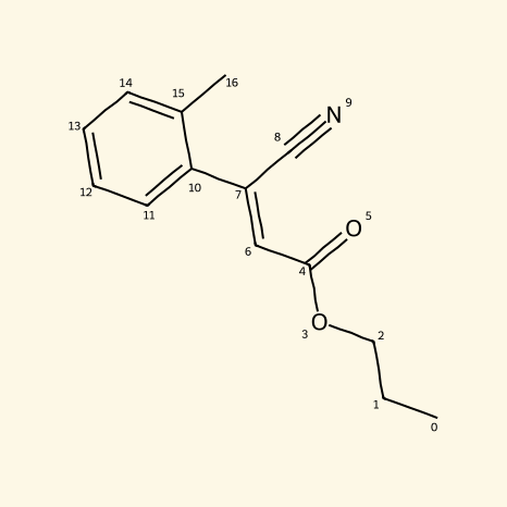 CCCOC(=O)C=C(C#N)c1ccccc1C